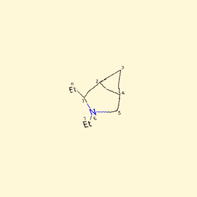 CCC1C2CC2CN1CC